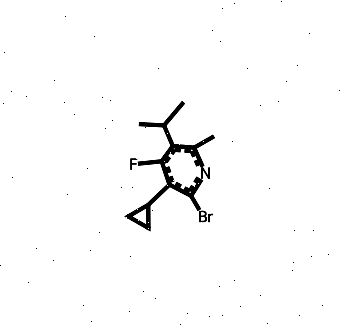 Cc1nc(Br)c(C2CC2)c(F)c1C(C)C